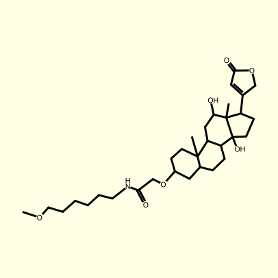 COCCCCCCNC(=O)COC1CCC2(C)C(CCC3C2CC(O)C2(C)C(C4=CC(=O)OC4)CCC32O)C1